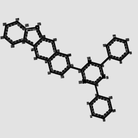 c1ccc(-c2nc(-c3ccccc3)nc(-c3ccc4cc5c(cc4c3)oc3ccccc35)n2)cc1